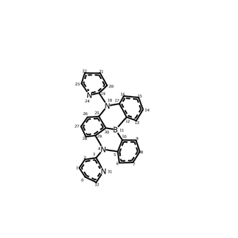 c1ccc(N2c3ccccc3B3c4ccccc4N(c4ccccn4)c4cccc2c43)nc1